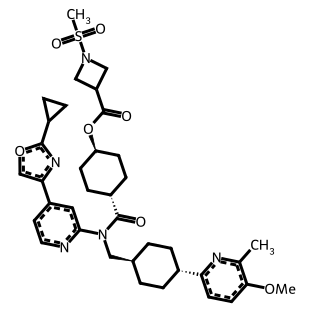 COc1ccc([C@H]2CC[C@H](CN(c3cc(-c4coc(C5CC5)n4)ccn3)C(=O)[C@H]3CC[C@H](OC(=O)C4CN(S(C)(=O)=O)C4)CC3)CC2)nc1C